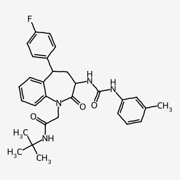 Cc1cccc(NC(=O)NC2CC(c3ccc(F)cc3)c3ccccc3N(CC(=O)NC(C)(C)C)C2=O)c1